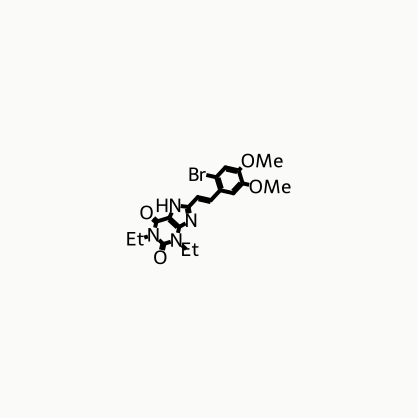 CCn1c(=O)c2[nH]c(C=Cc3cc(OC)c(OC)cc3Br)nc2n(CC)c1=O